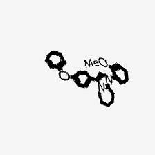 COc1ccccc1-n1cc(-c2ccc(Oc3ccccc3)cc2)[n+]2c1CCCCC2